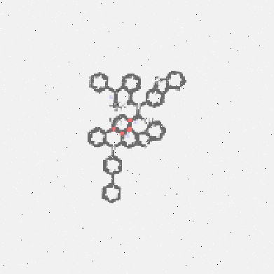 C=C(/C=C\C=C(/C)N(C(=C)c1ccccc1/C(=C\C)c1ccccc1)c1ccc2c(c1)sc1ccccc12)c1ccccc1N(c1ccc(-c2ccccc2)cc1)c1cc2sc3ccccc3c2c2ccccc12